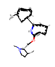 CN1CCC[C@H]1COc1cccc(-c2cccc(C=O)c2)n1